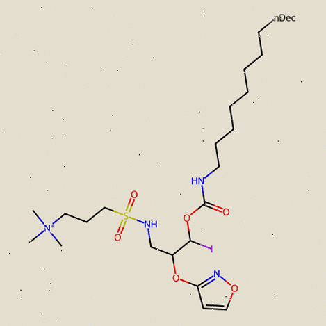 CCCCCCCCCCCCCCCCCCNC(=O)OC(I)C(CNS(=O)(=O)CCC[N+](C)(C)C)Oc1ccon1